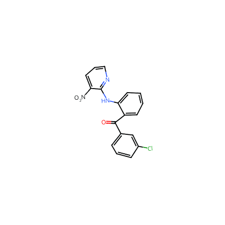 O=C(c1cccc(Cl)c1)c1ccccc1Nc1ncccc1[N+](=O)[O-]